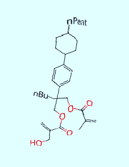 C=C(C)C(=O)OCC(CCCC)(COC(=O)C(=C)CO)c1ccc(C2CCC(CCCCC)CC2)cc1